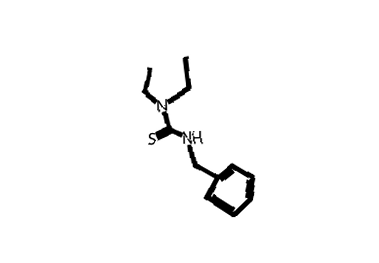 CCN(CC)C(=S)NCc1ccccc1